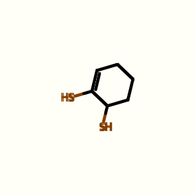 SC1=CCCCC1S